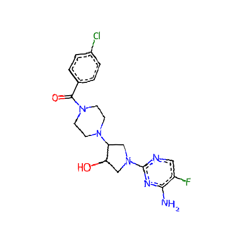 Nc1nc(N2CC(O)C(N3CCN(C(=O)c4ccc(Cl)cc4)CC3)C2)ncc1F